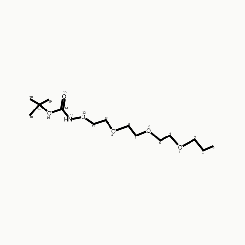 CCCOCCOCCOCCONC(=O)OC(C)(C)C